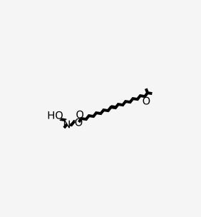 CC(C)C(=O)CCCCCCC/C=C/CCCCCCCC(=O)OCCN(C)CCO